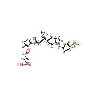 C/C(=C\C(=O)Nc1ccccc1OCCCC(=O)O)c1ccc2c(ccn2Cc2ccc(C(F)(F)F)cc2)c1